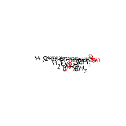 C=CC(=O)OCC(CC)CCCC.CCCCCCCCCCCCCCCCCCCCCC(=O)O